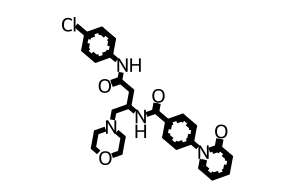 O=C(CC(CN1CCOCC1)NC(=O)c1ccc(-n2ccccc2=O)cc1)Nc1ccc(Cl)cc1